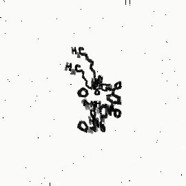 CCCCCCCS(=O)(=O)N1CCN(C(=O)c2ccc(C(=O)N3C[C@@H](C(=O)N[C@H]4C[C@@H]4c4ccccc4)[C@H](C(=O)N[C@H]4C[C@@H]4c4ccccc4)C3)cc2)CC1C(=O)NCCCCCC